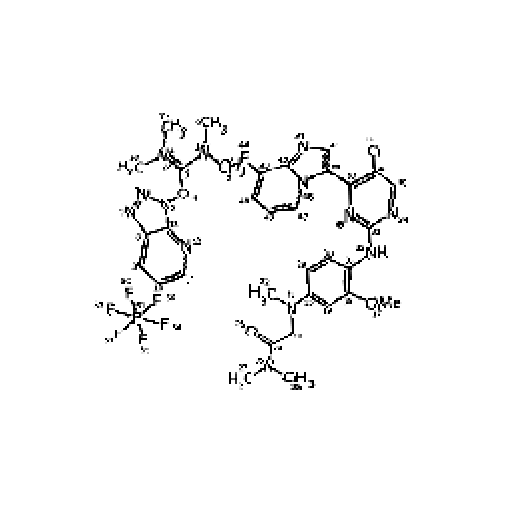 CN(C)C(On1nnc2cccnc21)=[N+](C)C.COc1cc(N(C)CC(=O)N(C)C)ccc1Nc1ncc(Cl)c(-c2cnc3c(F)cccn23)n1.F[P-](F)(F)(F)(F)F